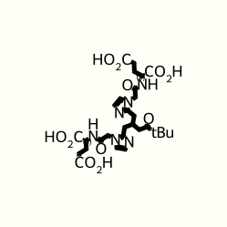 CC(C)(C)C(=O)CC(Cc1nccn1CC(=O)N[C@@H](CCC(=O)O)C(=O)O)Cc1nccn1CC(=O)N[C@@H](CCC(=O)O)C(=O)O